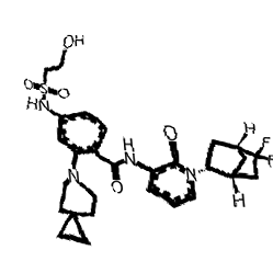 O=C(Nc1cccn([C@@H]2C[C@H]3C[C@@H]2CC3(F)F)c1=O)c1ccc(NS(=O)(=O)CCO)cc1N1CCC2(CC1)CC2